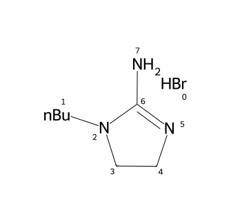 Br.CCCCN1CCN=C1N